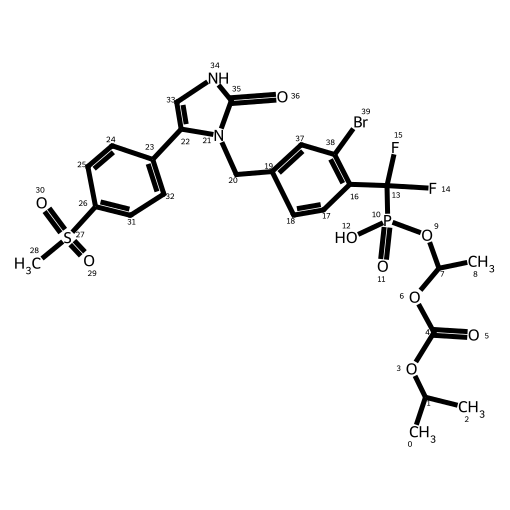 CC(C)OC(=O)OC(C)OP(=O)(O)C(F)(F)c1ccc(Cn2c(-c3ccc(S(C)(=O)=O)cc3)c[nH]c2=O)cc1Br